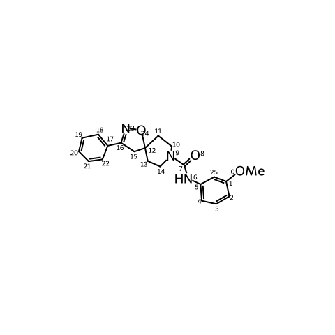 COc1cccc(NC(=O)N2CCC3(CC2)CC(c2ccccc2)=NO3)c1